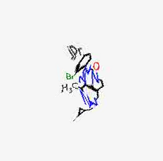 CC1=NN(CC2CC2)CC2=C3C1=NN(c1ccc(C(C)C)cc1Br)C(=O)N3CC2